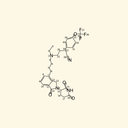 CCN(CCCCc1cccc2c1CN(C1CCC(=O)NC1=O)C2=O)CCC(C#N)c1ccc(OC(F)(F)F)cc1